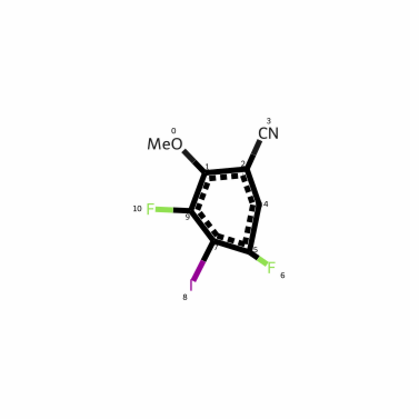 COc1c(C#N)cc(F)c(I)c1F